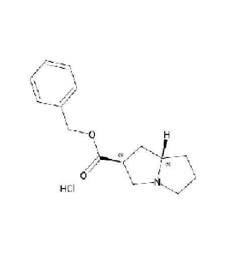 Cl.O=C(OCc1ccccc1)[C@H]1C[C@@H]2CCCN2C1